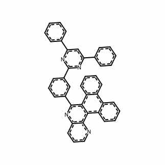 c1ccc(-c2cc(-c3ccccc3)nc(-c3cccc(-c4nc5cccnc5c5c6ccccc6c6ccccc6c45)c3)n2)cc1